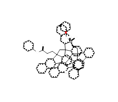 O=C(CCC1(CC2(CC3(CC4(CCC(=O)Oc5ccccc5)c5ccccc5-c5nc6ccccc6cc54)c4ccccc4-c4nc5ccccc5cc43)c3ccccc3-c3nc4ccccc4cc32)c2ccccc2-c2nc3ccccc3cc21)Oc1ccccc1